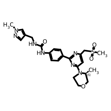 C[C@H]1COCCN1c1cc(CS(C)(=O)=O)nc(-c2ccc(NC(=O)NCc3cnn(C)c3)cc2)n1